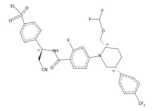 CCS(=O)(=O)c1ccc([C@H](CC#N)NC(=O)c2ccc(N3C[C@@H](c4ccc(C(F)(F)F)cc4)CC[C@H]3COC(F)F)cc2F)cc1